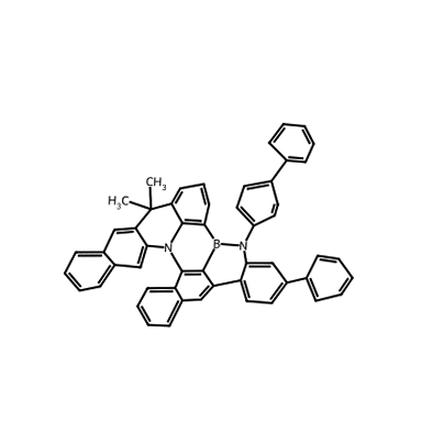 CC1(C)c2cc3ccccc3cc2N2c3c(cccc31)B1c3c(cc4ccccc4c32)-c2ccc(-c3ccccc3)cc2N1c1ccc(-c2ccccc2)cc1